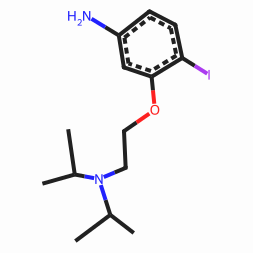 CC(C)N(CCOc1cc(N)ccc1I)C(C)C